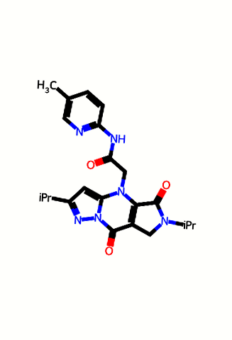 Cc1ccc(NC(=O)Cn2c3c(c(=O)n4nc(C(C)C)cc24)CN(C(C)C)C3=O)nc1